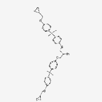 CC(C)C(COc1ccc(C(C)(C)c2ccc(OCC3CO3)cc2)cc1)COc1ccc(C(C)(C)c2ccc(OCC3CO3)cc2)cc1